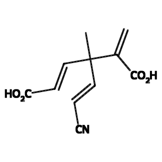 C=C(C(=O)O)C(C)(C=CC#N)C=CC(=O)O